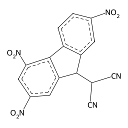 N#CC(C#N)C1c2cc([N+](=O)[O-])ccc2-c2c1cc([N+](=O)[O-])cc2[N+](=O)[O-]